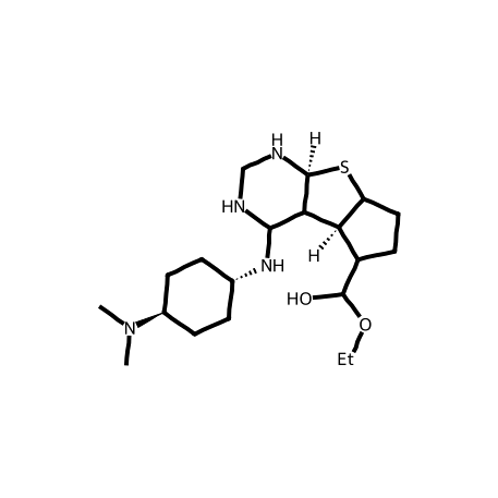 CCOC(O)C1CCC2S[C@@H]3NCNC(N[C@H]4CC[C@H](N(C)C)CC4)C3[C@@H]21